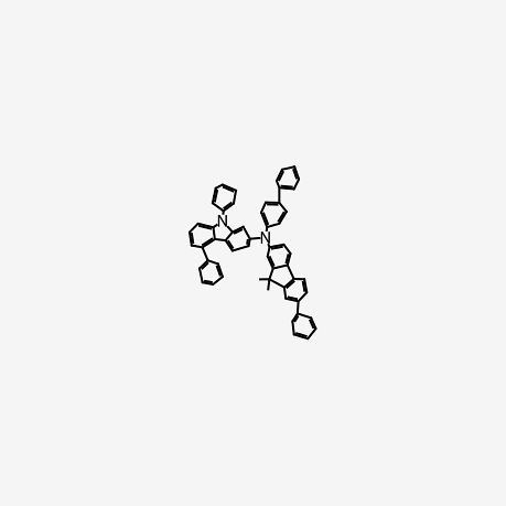 CC1(C)c2cc(-c3ccccc3)ccc2-c2ccc(N(c3ccc(-c4ccccc4)cc3)c3ccc4c5c(-c6ccccc6)cccc5n(-c5ccccc5)c4c3)cc21